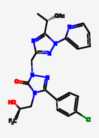 CC(=O)O[C@@H](C)c1nc(Cn2nc(-c3ccc(Cl)cc3)n(C[C@H](O)C(F)(F)F)c2=O)nn1-c1ccccn1